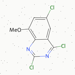 COc1cc(Cl)cc2c(Cl)nc(Cl)nc12